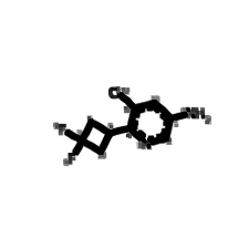 Nc1cnc(C2CC(F)(F)C2)c(Cl)c1